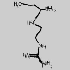 CCC(N)NCCNC(=N)N